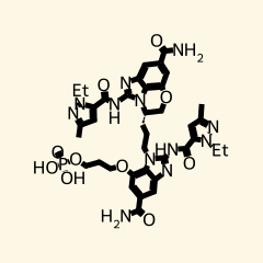 CCn1nc(C)cc1C(=O)Nc1nc2cc(C(N)=O)cc(OCCCOP(=O)(O)O)c2n1CCC[C@H]1COc2cc(C(N)=O)cc3nc(NC(=O)c4cc(C)nn4CC)n1c23